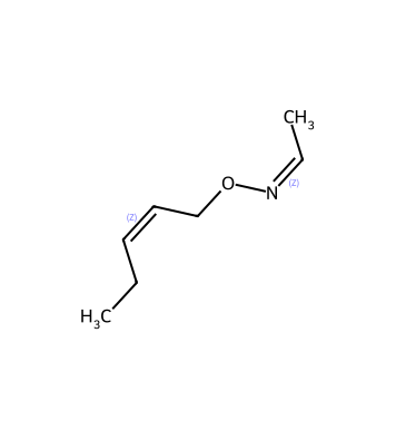 C/C=N\OC/C=C\CC